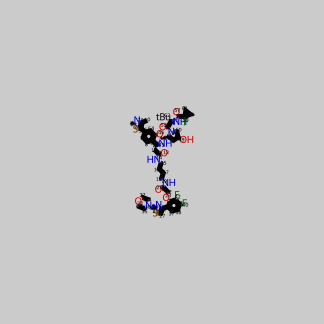 Cc1ncsc1-c1ccc([C@H](CC(=O)NCCCCNC(=O)COc2c(-c3csc(N4CCOCC4)n3)ccc(F)c2F)NC(=O)[C@@H]2C[C@@H](O)CN2C(=O)[C@@H](NC(=O)C2(F)CC2)C(C)(C)C)cc1